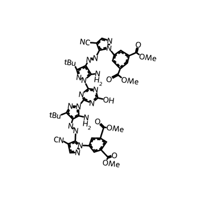 [C-]#[N+]c1cnn(-c2cc(C(=O)OC)cc(C(=O)OC)c2)c1N=Nc1c(C(C)(C)C)nn(-c2nc(O)nc(-n3nc(C(C)(C)C)c(N=Nc4c(C#N)cnn4-c4cc(C(=O)OC)cc(C(=O)OC)c4)c3N)n2)c1N